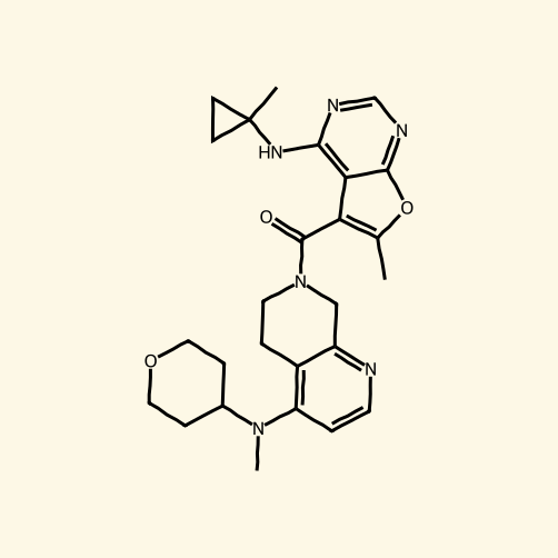 Cc1oc2ncnc(NC3(C)CC3)c2c1C(=O)N1CCc2c(N(C)C3CCOCC3)ccnc2C1